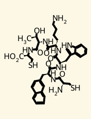 C[C@@H](O)[C@H](NC(=O)[C@H](CCCCN)NC(=O)[C@@H](Cc1c[nH]c2ccccc12)NC(=O)[C@H](Cc1ccc2ccccc2c1)NC(=O)[C@@H](N)CS)C(=O)N[C@@H](CS)C(=O)O